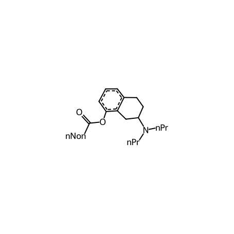 CCCCCCCCCC(=O)Oc1cccc2c1CC(N(CCC)CCC)CC2